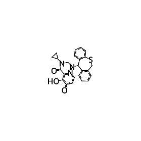 O=C1c2c(O)c(=O)ccn2N(C2c3ccccc3CSc3ccccc32)CN1C1CC1